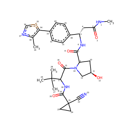 CNC(=O)C[C@H](NC(=O)C1C[C@@H](O)CN1C(=O)C(NC(=O)C1(C#N)CC1)C(C)(C)C)c1ccc(-c2scnc2C)cc1